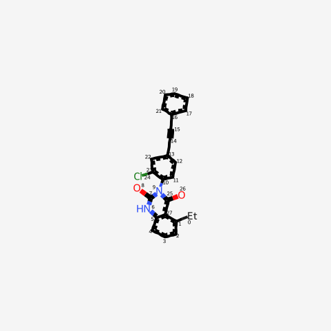 CCc1cccc2[nH]c(=O)n(-c3ccc(C#Cc4ccccc4)cc3Cl)c(=O)c12